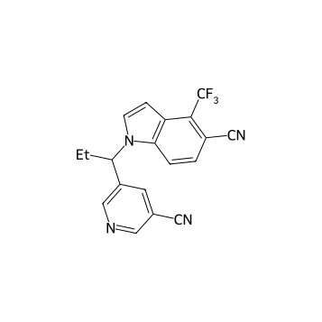 CCC(c1cncc(C#N)c1)n1ccc2c(C(F)(F)F)c(C#N)ccc21